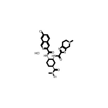 CCN(C)C(=O)[C@H]1CC[C@H](NC(=O)c2cc3ccc(Cl)cc3cn2)[C@H](NC(=O)c2nc3c(s2)CN(C)CC3)C1.Cl